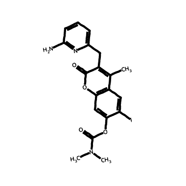 Cc1c(Cc2cccc(N)n2)c(=O)oc2cc(OC(=O)N(C)C)c(I)cc12